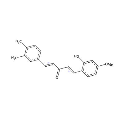 COc1ccc(/C=C/C(=O)/C=C/c2ccc(C)c(C)c2)c(O)c1